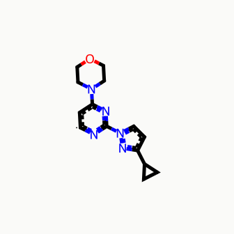 [c]1cc(N2CCOCC2)nc(-n2ccc(C3CC3)n2)n1